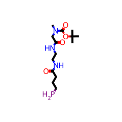 CN(CC(=O)NCCNC(=O)CCCP)C(=O)OC(C)(C)C